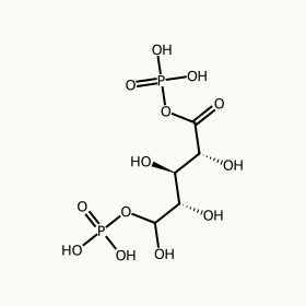 O=C(OP(=O)(O)O)[C@H](O)[C@H](O)[C@H](O)C(O)OP(=O)(O)O